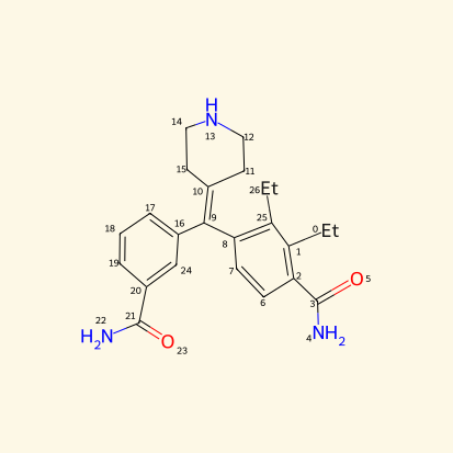 CCc1c(C(N)=O)ccc(C(=C2CCNCC2)c2cccc(C(N)=O)c2)c1CC